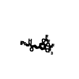 CC(C)CNC(=O)C=Cc1cc(OC(F)F)c(OC(F)F)c(C(F)(F)F)c1